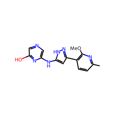 COc1nc(C)ccc1-c1cc(Nc2cncc(O)n2)[nH]n1